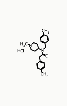 Cc1ccc(CC(=O)N(Cc2ccc(C)cc2)C2CCN(C)CC2)cc1.Cl